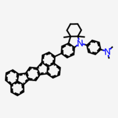 CN(C)c1ccc(N2c3ccc(-c4ccc5c6cc7c(cc6c6cccc4c65)c4cccc5cccc7c54)cc3C3(C)CCCCC23C)cc1